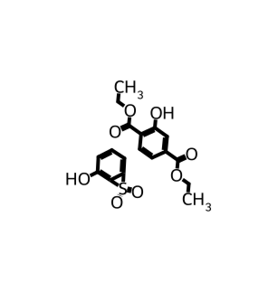 CCOC(=O)c1ccc(C(=O)OCC)c(O)c1.O=S1(=O)c2cccc(O)c21